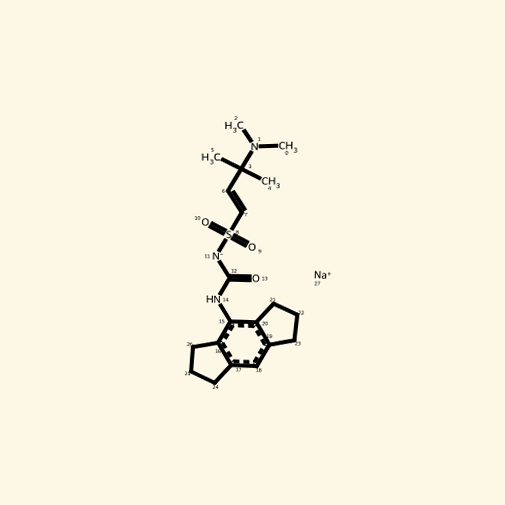 CN(C)C(C)(C)/C=C/S(=O)(=O)[N-]C(=O)Nc1c2c(cc3c1CCC3)CCC2.[Na+]